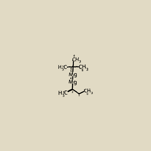 CC[CH](C)[Mg][Mg][C](C)(C)C